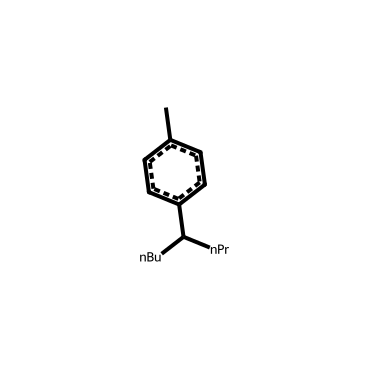 CCCCC(CCC)c1ccc(C)cc1